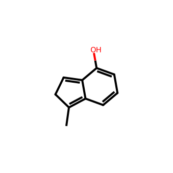 CC1=c2cccc(O)c2=CC1